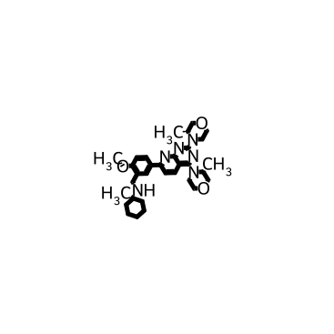 COc1ccc(-c2ccc3c(N4CCOCC4C)nc(N4CCOC[C@H]4C)nc3n2)cc1CNC1(C)CCCCC1